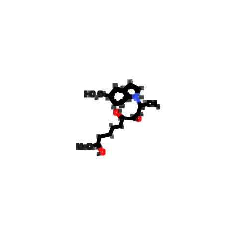 COC(=O)CCCCC(=O)C1OC1C(C)n1ccc2cc(C(=O)O)ccc21